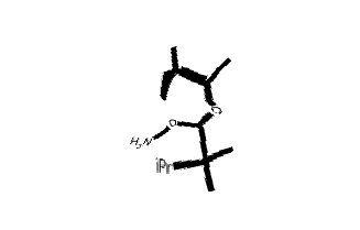 CC(C)=C(C)OC(ON)C(C)(C)C(C)C